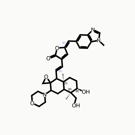 Cn1cnc2cc(/C=C3C=C(/C=C/C4C5(CO5)C(N5CCOCC5)CC5[C@]4(C)CC[C@@H](O)[C@@]5(C)CO)C(=O)O\3)ccc21